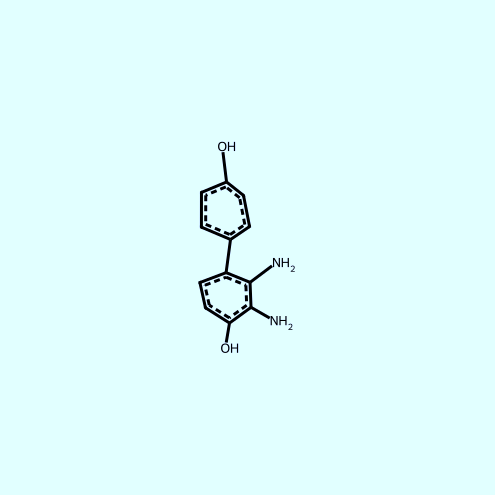 Nc1c(O)ccc(-c2ccc(O)cc2)c1N